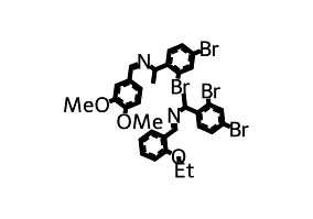 CCOc1ccccc1/C=N/C(C)c1ccc(Br)cc1Br.COc1ccc(/C=N\C(C)c2ccc(Br)cc2Br)cc1OC